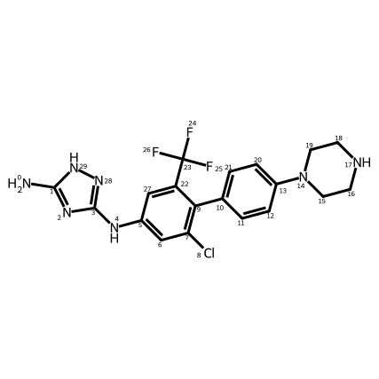 Nc1nc(Nc2cc(Cl)c(-c3ccc(N4CCNCC4)cc3)c(C(F)(F)F)c2)n[nH]1